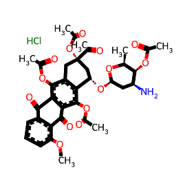 COc1cccc2c1C(=O)c1c(OC(C)=O)c3c(c(OC(C)=O)c1C2=O)C[C@@](OC(C)=O)(C(C)=O)C[C@@H]3O[C@@H]1C[C@H](N)[C@H](OC(C)=O)[C@H](C)O1.Cl